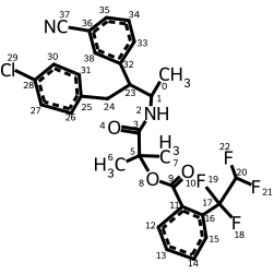 CC(NC(=O)C(C)(C)OC(=O)c1ccccc1C(F)(F)C(F)F)C(Cc1ccc(Cl)cc1)c1cccc(C#N)c1